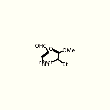 CCCC=CC=O.CCCCCC(CC)C(=O)OC